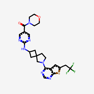 O=C(c1cnc(NC2CC3(CCN(c4ncnc5sc(CC(F)(F)F)cc45)C3)C2)nc1)N1CCOCC1